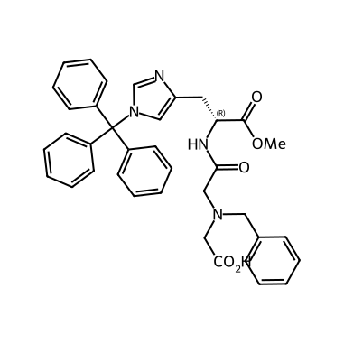 COC(=O)[C@@H](Cc1cn(C(c2ccccc2)(c2ccccc2)c2ccccc2)cn1)NC(=O)CN(CC(=O)O)Cc1ccccc1